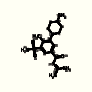 Cc1c(N2CCC(N)CC2)cc(C(=O)N=C(N)N)cc1S(N)(=O)=O